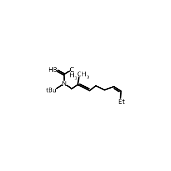 B=C(C)N(C/C(C)=C/CC/C=C\CC)C(C)(C)C